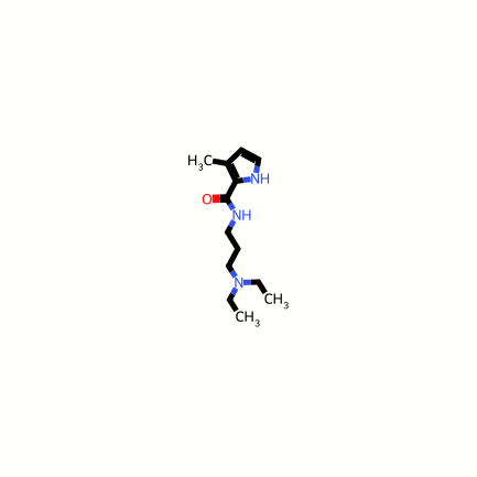 CCN(CC)CCCNC(=O)c1[nH]ccc1C